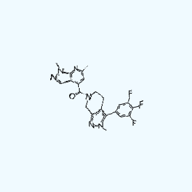 Cc1cc(C(=O)N2CCc3c(nn(C)c3-c3cc(F)c(F)c(F)c3)C2)c2cnn(C)c2n1